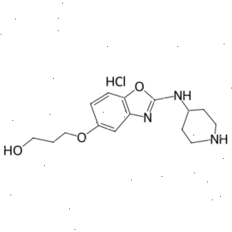 Cl.OCCCOc1ccc2oc(NC3CCNCC3)nc2c1